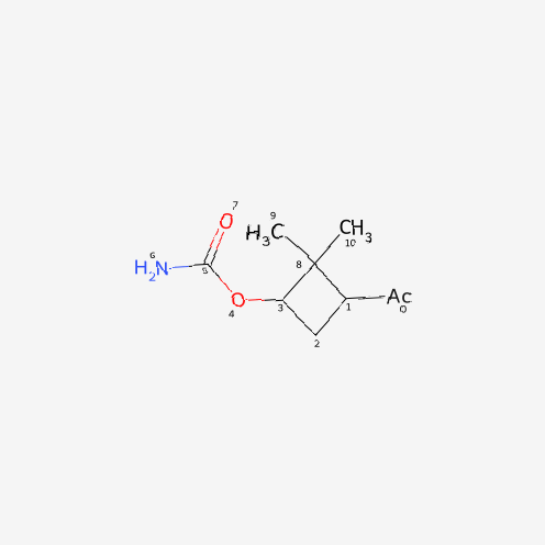 CC(=O)C1CC(OC(N)=O)C1(C)C